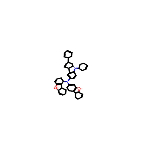 C1=CCC(C2C=CC3c4cc(N(C5=Cc6oc7c(c6CC5)CCC=C7)C5CC=CC6=C5C5CCC=CC5O6)ccc4N(C4CC=CCC4)C3C2)C=C1